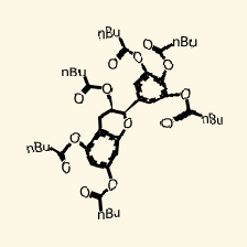 CCCCC(=O)Oc1cc(OC(=O)CCCC)c2c(c1)O[C@H](c1cc(OC(=O)CCCC)c(OC(=O)CCCC)c(OC(=O)CCCC)c1)[C@H](OC(=O)CCCC)C2